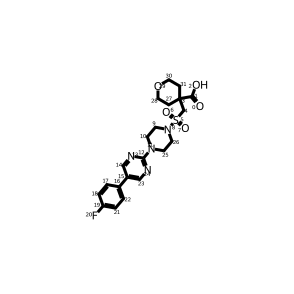 O=C(O)C1(CS(=O)(=O)N2CCN(c3ncc(-c4ccc(F)cc4)cn3)CC2)CCOCC1